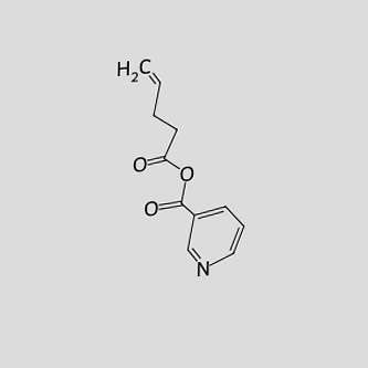 C=CCCC(=O)OC(=O)c1cccnc1